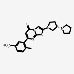 Cc1ccc(S(=O)(=O)O)cc1-c1cc(=O)n2cc(N3CC[C@H](N4CCCC4)C3)sc2n1